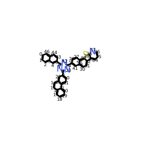 c1ccc2cc(-c3nc(-c4ccc5c(ccc6ccccc65)c4)nc(-c4ccc5c(ccc6c7cccnc7sc56)c4)n3)ccc2c1